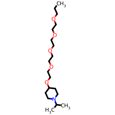 CCCOCCOCCOCCOCCOC1CCN(C(C)C)CC1